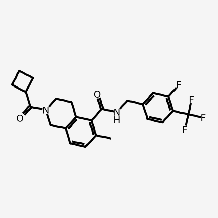 Cc1ccc2c(c1C(=O)NCc1ccc(C(F)(F)F)c(F)c1)CCN(C(=O)C1CCC1)C2